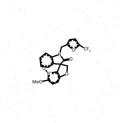 COc1ccc2c([n+]1[O-])C1(CO2)C(=O)N(Cc2ccc(C(F)(F)F)o2)c2ccccc21